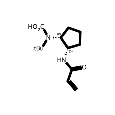 C=CC(=O)N[C@H]1CCC[C@H]1N(C(=O)O)C(C)(C)C